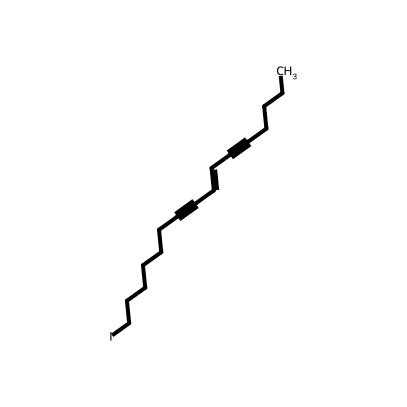 CCCCC#CC=CC#CCCCCCCI